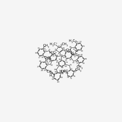 CC1=C(C)C(C)C([Si](c2cc(Cc3c(C)cccc3C)cc(Cc3c(C)cccc3C)c2)(c2cc(Cc3c(C)cccc3C)cc(Cc3c(C)cccc3C)c2)c2cc(Cc3c(C)cccc3C)cc(Cc3c(C)cccc3C)c2)=C1C